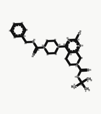 CC(C)(C)OC(=O)N1CCc2c(nc(Cl)nc2N2CCN(C(=O)OCc3ccccc3)CC2)C1